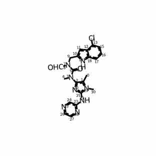 Cc1c(N(C)C(=O)N(C=O)Cc2cc3c(Cl)cccc3[nH]2)nc(Nc2cnccn2)n1C